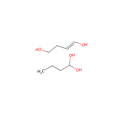 CCCC(O)O.OC=CCCO